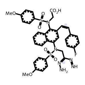 COc1ccc(S(=O)(=O)N(C/C(N=N)=N/N)c2cc(/C=C\c3ccc(F)cc3)c(N(CC(=O)O)S(=O)(=O)c3ccc(OC)cc3)c3ccccc23)cc1